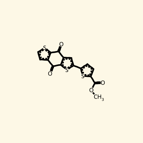 COC(=O)c1ccc(-c2cc3c(s2)C(=O)c2ccsc2C3=O)s1